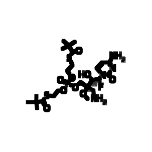 CO[C@](CN)(COP(=O)(OCCSC(=O)C(C)(C)C)OCCSC(=O)C(C)(C)C)[C@@H](O)[C@@H](F)n1ccc(N)nc1=O